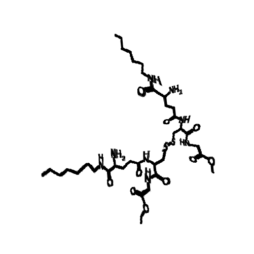 CCCCCCCNC(=O)C(N)CCC(=O)NC(CSSCC(NC(=O)CCC(N)C(=O)NCCCCCCC)C(=O)NCC(=O)OCC)C(=O)NCC(=O)OC